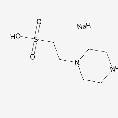 O=S(=O)(O)CCN1CCNCC1.[NaH]